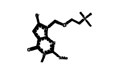 CSc1nc2c(cc(Br)n2COCC[Si](C)(C)C)c(=O)n1C